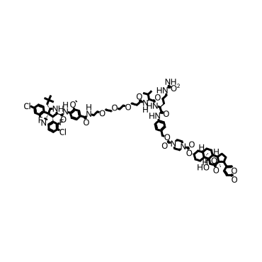 COc1cc(C(=O)NCCOCCOCCOCCC(=O)N[C@H](C(=O)N[C@@H](CCCNC(N)=O)C(=O)Nc2ccc(COC(=O)N3CCN(C(=O)O[C@H]4CC[C@@]5(C)[C@H](CC[C@@H]6[C@@H]5[C@H](O)C(=O)[C@]5(C)C(c7ccc(=O)oc7)CC[C@]65O)C4)CC3)cc2)C(C)C)ccc1NC(=O)[C@@H]1N[C@@H](CC(C)(C)C)[C@](C#N)(c2ccc(Cl)cc2F)[C@H]1c1cccc(Cl)c1F